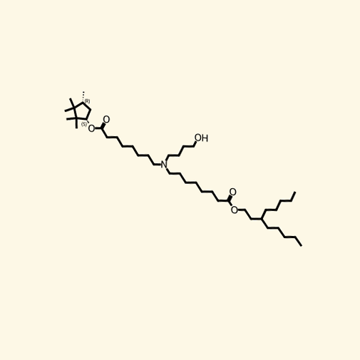 CCCCCC(CCCCC)CCOC(=O)CCCCCCCN(CCCCO)CCCCCCCC(=O)O[C@H]1C[C@@H](C)C(C)(C)C1(C)C